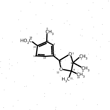 Cc1cc(C2OC(C)(C)C(C)(C)O2)ccc1C(=O)O